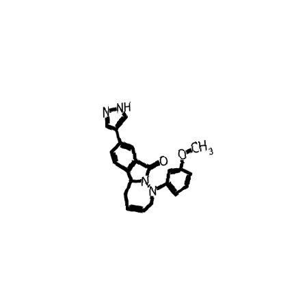 COc1cccc(N2CC=CCC3c4ccc(-c5cn[nH]c5)cc4C(=O)N32)c1